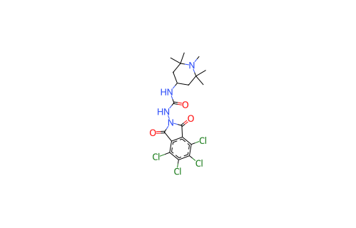 CN1C(C)(C)CC(NC(=O)NN2C(=O)c3c(Cl)c(Cl)c(Cl)c(Cl)c3C2=O)CC1(C)C